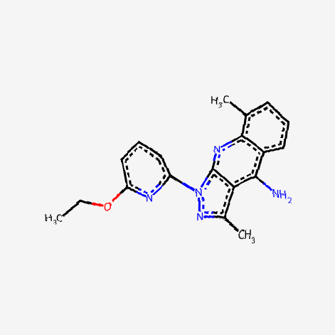 CCOc1cccc(-n2nc(C)c3c(N)c4cccc(C)c4nc32)n1